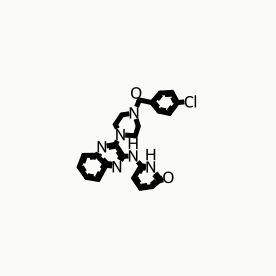 O=C(c1ccc(Cl)cc1)N1CCN(c2nc3ccccc3nc2Nc2cccc(=O)[nH]2)CC1